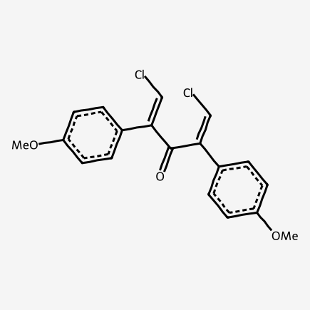 COc1ccc(C(=CCl)C(=O)C(=CCl)c2ccc(OC)cc2)cc1